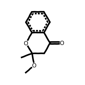 COC1(C)CC(=O)c2ccccc2O1